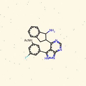 CC(=O)Nc1cc(F)cc(-c2[nH]nc3ncnc(C4Cc5ccccc5C4N)c23)c1